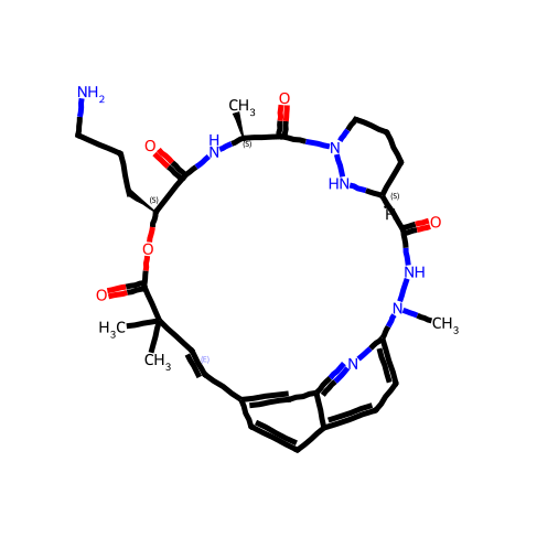 C[C@@H]1NC(=O)[C@H](CCCN)OC(=O)C(C)(C)/C=C/c2ccc3ccc(nc3c2)N(C)NC(=O)[C@@H]2CCCN(N2)C1=O